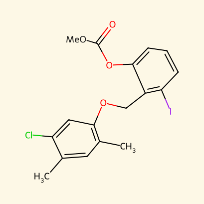 COC(=O)Oc1cccc(I)c1COc1cc(Cl)c(C)cc1C